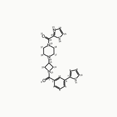 O=C(c1cccc(-c2cccs2)c1)N1CC(N2CCN(C(=O)c3nccs3)CC2)C1